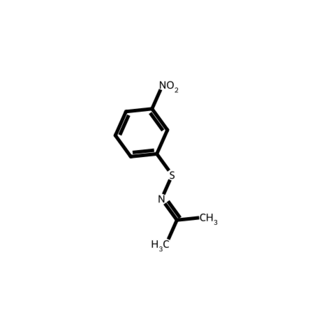 CC(C)=NSc1cccc([N+](=O)[O-])c1